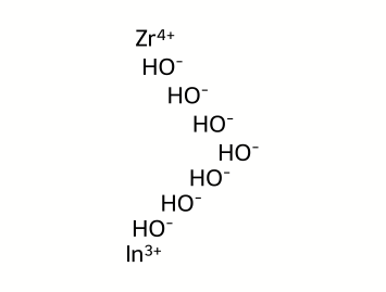 [In+3].[OH-].[OH-].[OH-].[OH-].[OH-].[OH-].[OH-].[Zr+4]